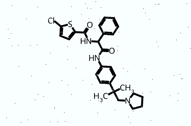 CC(C)(CN1CCCC1)c1ccc(NC(=O)C(NC(=O)c2ccc(Cl)s2)c2ccccc2)cc1